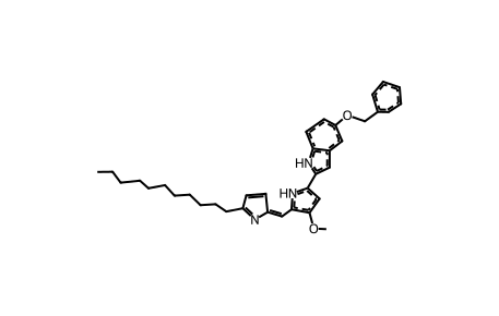 CCCCCCCCCCCC1=NC(=Cc2[nH]c(-c3cc4cc(OCc5ccccc5)ccc4[nH]3)cc2OC)C=C1